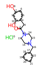 Cl.O=C(Cc1ccc(O)cc1O)N1CCN(Cc2ccccc2)CC1